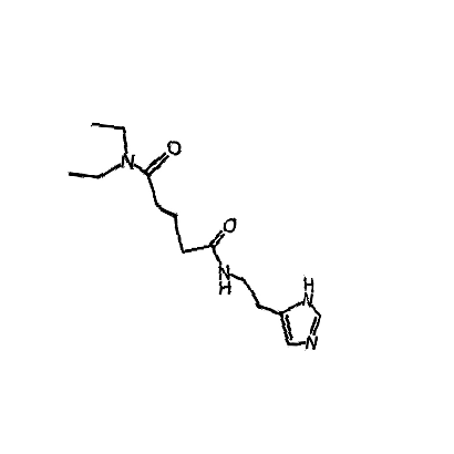 CCN(CC)C(=O)CCCC(=O)NCCc1cnc[nH]1